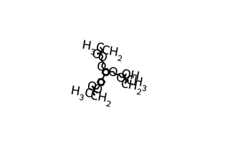 C=C(C)C(=O)OCCOc1cc(OCCOC(O)C(=C)C)cc(-c2ccc(OC(=O)C(=C)C)cc2)c1